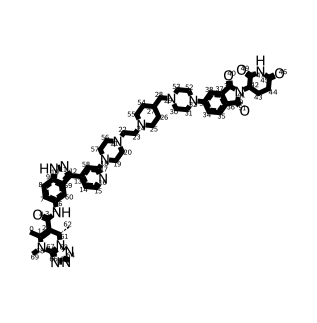 CC1=C(C(=O)Nc2ccc3[nH]nc(-c4ccnc(N5CCN(CCN6CCC(CN7CCN(c8ccc9c(c8)C(=O)N(C8CCC(=O)NC8=O)C9=O)CC7)CC6)CC5)c4)c3c2)[C@H](C)n2nnnc2N1C